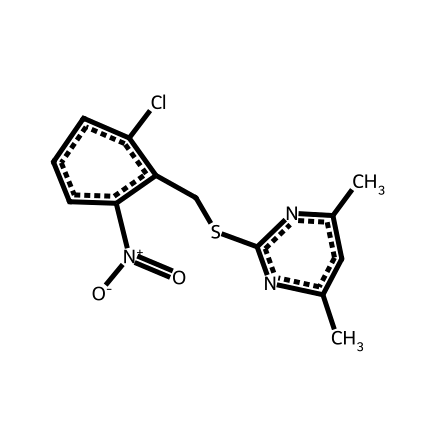 Cc1cc(C)nc(SCc2c(Cl)cccc2[N+](=O)[O-])n1